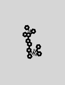 c1ccc(-c2nc(-n3c4ccccc4c4ccc(-c5ccc6cc(-c7cc8c9ccccc9n(-c9ccccc9)c8c8ccccc78)ccc6c5)cc43)nc3ccccc23)cc1